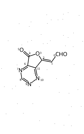 O=CC=C1OC(=O)c2ncnnc21